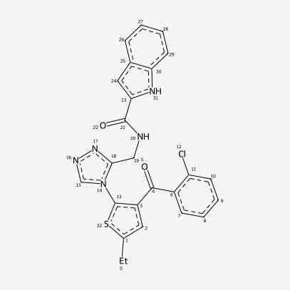 CCc1cc(C(=O)c2ccccc2Cl)c(-n2cnnc2CNC(=O)c2cc3ccccc3[nH]2)s1